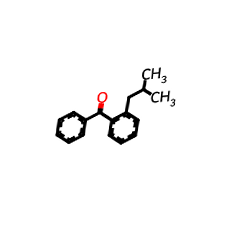 CC(C)Cc1ccccc1C(=O)c1ccccc1